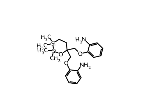 C[Si]1(C)CCC(COc2ccccc2N)(COc2ccccc2N)O[Si]1(C)C